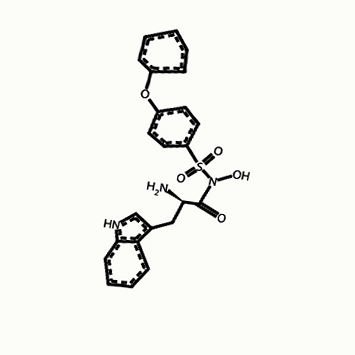 N[C@H](Cc1c[nH]c2ccccc12)C(=O)N(O)S(=O)(=O)c1ccc(Oc2ccccc2)cc1